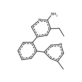 CCc1cc(-c2ccccc2-c2cncc(C)c2)cnc1N